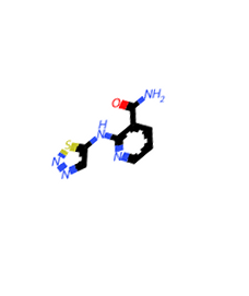 NC(=O)c1cccnc1Nc1cnns1